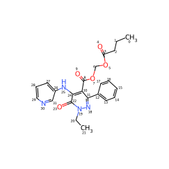 CCCC(=O)OCOC(=O)c1c(-c2ccccc2)nn(CC)c(=O)c1Nc1cccnc1